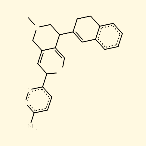 C/C=C1\C(=C/C(C)c2ccc(N)nn2)CN(C)CC1C1=Cc2ccccc2CC1